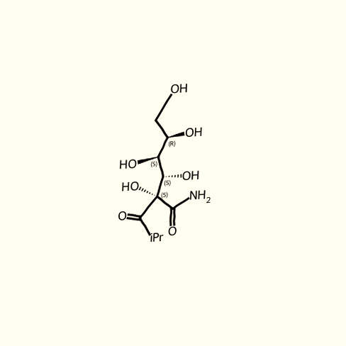 CC(C)C(=O)[C@](O)(C(N)=O)[C@@H](O)[C@@H](O)[C@H](O)CO